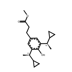 COC(=O)CCc1cc([C@H](C)C2CC2)c(O)c([C@H](C)C2CC2)c1